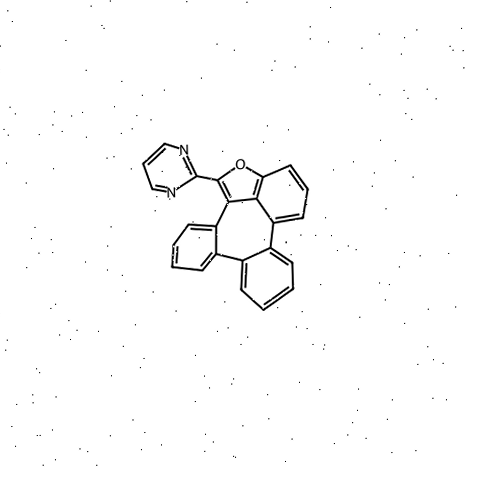 c1cnc(-c2oc3cccc4c3c2-c2ccccc2-c2ccccc2-4)nc1